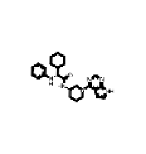 O=C(N[C@@H]1CCCN(c2ncnc3[nH]ccc23)C1)[C@H](Nc1ccccc1)C1CCCCC1